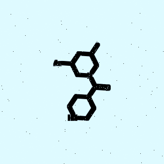 CC(=O)C1CC(C)CN(C(=O)C2CCNCC2)C1